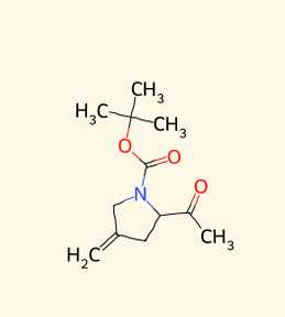 C=C1CC(C(C)=O)N(C(=O)OC(C)(C)C)C1